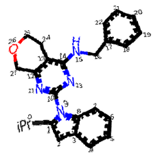 CC(C)c1cc2ccccc2n1-c1nc2c(c(NCc3ccccc3)n1)CCOC2